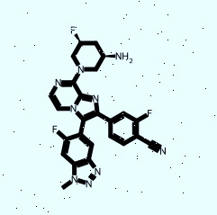 Cn1nnc2cc(-c3c(-c4ccc(C#N)c(F)c4)nc4c(N5C[C@H](N)C[C@H](F)C5)nccn34)c(F)cc21